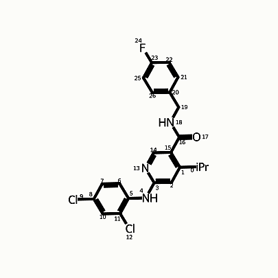 CC(C)c1cc(Nc2ccc(Cl)cc2Cl)ncc1C(=O)NCc1ccc(F)cc1